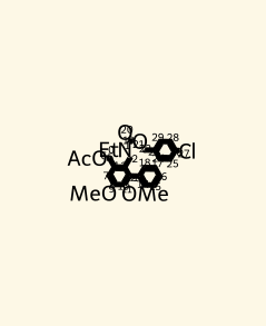 CCN(Cc1c(COC(C)=O)cc(OC)c(OC)c1-c1ccccc1)C(=O)OCc1ccc(Cl)cc1